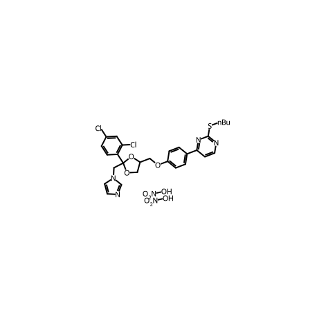 CCCCSc1nccc(-c2ccc(OCC3COC(Cn4ccnc4)(c4ccc(Cl)cc4Cl)O3)cc2)n1.O=[N+]([O-])O.O=[N+]([O-])O